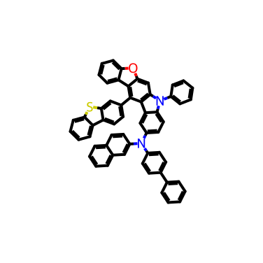 c1ccc(-c2ccc(N(c3ccc4ccccc4c3)c3ccc4c(c3)c3c(-c5ccc6c(c5)sc5ccccc56)c5c(cc3n4-c3ccccc3)oc3ccccc35)cc2)cc1